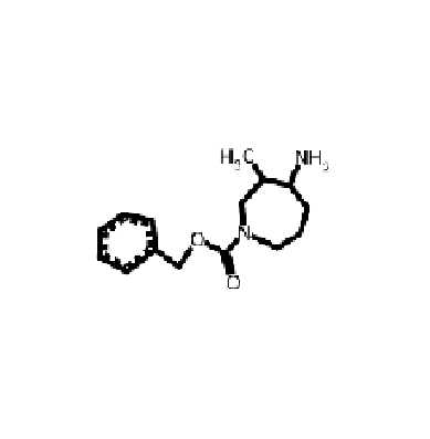 CC1CN(C(=O)OCc2ccccc2)CCCC1N